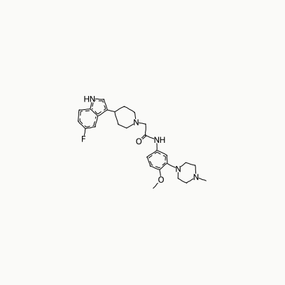 COc1ccc(NC(=O)CN2CCC(c3c[nH]c4ccc(F)cc34)CC2)cc1N1CCN(C)CC1